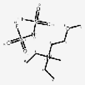 CC[N+](C)(CC)CCOC.O=S(=O)(F)[N-]S(=O)(=O)F